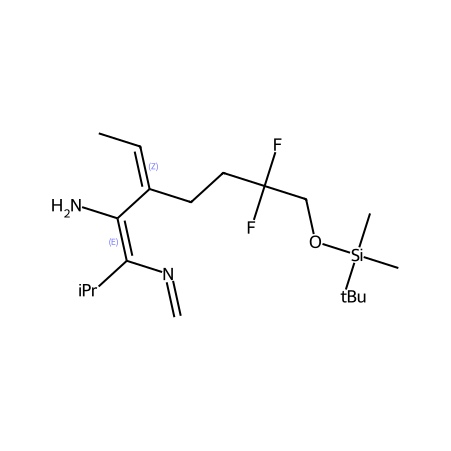 C=N/C(=C(N)\C(=C/C)CCC(F)(F)CO[Si](C)(C)C(C)(C)C)C(C)C